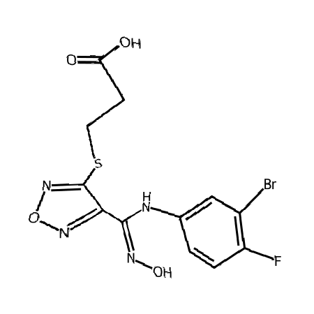 O=C(O)CCSc1nonc1/C(=N/O)Nc1ccc(F)c(Br)c1